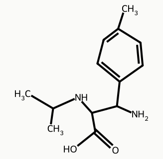 Cc1ccc(C(N)C(NC(C)C)C(=O)O)cc1